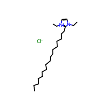 CCCCCCCCCCCCCCCCCc1n(CC)cc[n+]1CC.[Cl-]